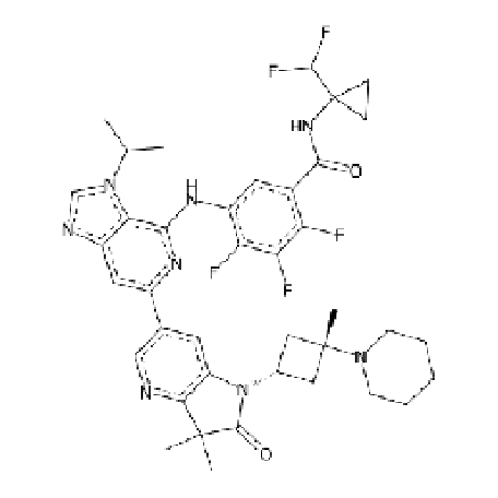 CC(C)n1cnc2cc(-c3cnc4c(c3)N([C@H]3C[C@@](C)(N5CCCCC5)C3)C(=O)C4(C)C)nc(Nc3cc(C(=O)NC4(C(F)F)CC4)c(F)c(F)c3F)c21